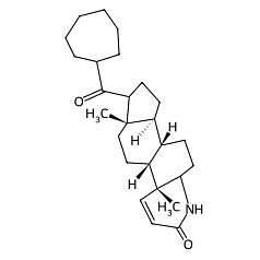 C[C@]12C=CC(=O)NC1CC[C@@H]1[C@H]2CC[C@]2(C)C(C(=O)C3CCCCCC3)CC[C@@H]12